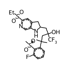 CCS(=O)(=O)c1cc2c(cn1)NC(CC(O)(CC(C)(C)c1cccc(F)c1S(C)(=O)=O)C(F)(F)F)C2